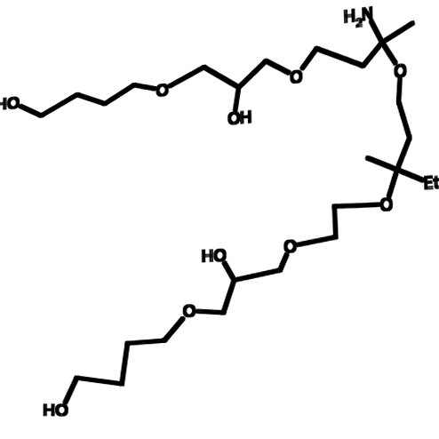 CCC(C)(CCOC(C)(N)CCOCC(O)COCCCCO)OCCOCC(O)COCCCCO